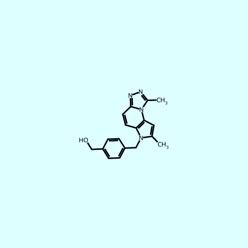 Cc1cc2c(ccc3nnc(C)n32)n1Cc1ccc(CO)cc1